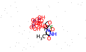 Cc1cn([C@@H]2O[C@@]3(COP(=O)(O)OP(=O)(O)OP(=O)(O)O)CO[C@]2(F)[C@@H]3O)c(=O)[nH]c1=O